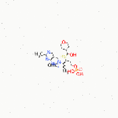 C/C(=C(CCOP(=O)(O)O)/[SH]=C(\O)C1CCOCC1)N(C=O)Cc1cnc(C)nc1N